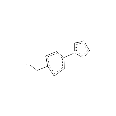 ClCc1ccc(-n2cncn2)cc1